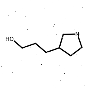 OCCCC1CC[N]C1